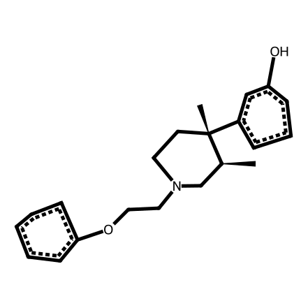 C[C@H]1CN(CCOc2ccccc2)CC[C@]1(C)c1cccc(O)c1